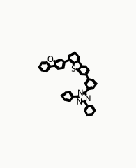 c1ccc(-c2nc(-c3ccccc3)nc(-c3cccc(-c4ccc5c(c4)sc4c(-c6ccc7c(c6)oc6ccccc67)cccc45)c3)n2)cc1